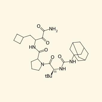 CC(C)(C)[C@H](NC(=O)NC12CC3CC(CC(C3)C1)C2)C(=O)N1CCCC1C(=O)NC(CC1CCC1)C(=O)C(N)=O